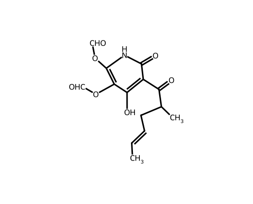 C/C=C/CC(C)C(=O)c1c(O)c(OC=O)c(OC=O)[nH]c1=O